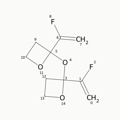 C=C(F)C1(OC2(C(=C)F)CCO2)CCO1